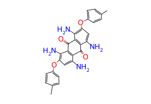 Cc1ccc(Oc2cc(N)c3c(c2N)C(=O)c2c(N)c(Oc4ccc(C)cc4)cc(N)c2C3=O)cc1